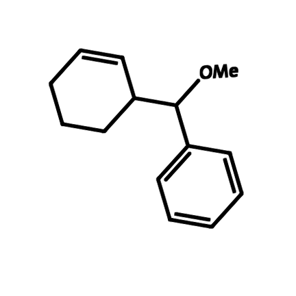 COC(c1ccccc1)C1C=CCCC1